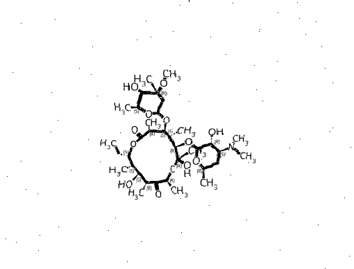 CC[C@@H]1OC(=O)[C@H](C)[C@@H](OC2C[C@@](C)(OC)C(O)[C@H](C)O2)[C@H](C)[C@@H](OC2O[C@H](C)C[C@H](N(C)C)[C@H]2O)[C@](C)(O)C[C@@H](C)C(=O)[C@H](C)[C@@H](O)[C@@H]1C